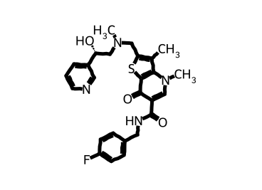 Cc1c(CN(C)C[C@@H](O)c2cccnc2)sc2c(=O)c(C(=O)NCc3ccc(F)cc3)cn(C)c12